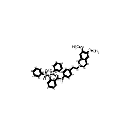 COc1cc2c(cc1OC)CN(CCc1ccc(NC(=O)c3ccccc3N(S(=O)(=O)c3ccccc3)S(=O)(=O)c3ccccc3)cc1)CC2